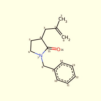 C=C(C)CC1CCN(Cc2ccccc2)C1=O